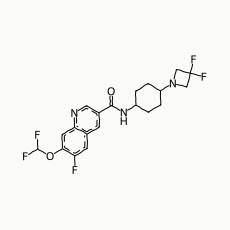 O=C(NC1CCC(N2CC(F)(F)C2)CC1)c1cnc2cc(OC(F)F)c(F)cc2c1